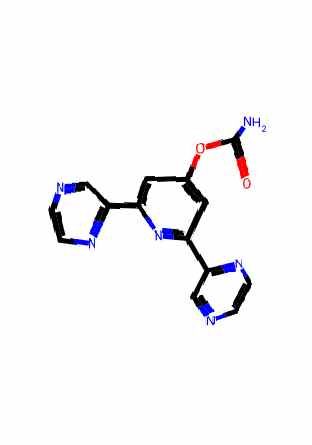 NC(=O)Oc1cc(-c2cnccn2)nc(-c2cnccn2)c1